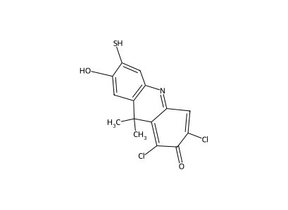 CC1(C)C2=C(Cl)C(=O)C(Cl)=CC2=Nc2cc(S)c(O)cc21